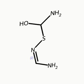 N/C=N\SC(N)O